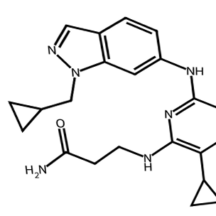 NC(=O)CCNc1nc(Nc2ccc3cnn(CC4CC4)c3c2)ncc1C1CC1